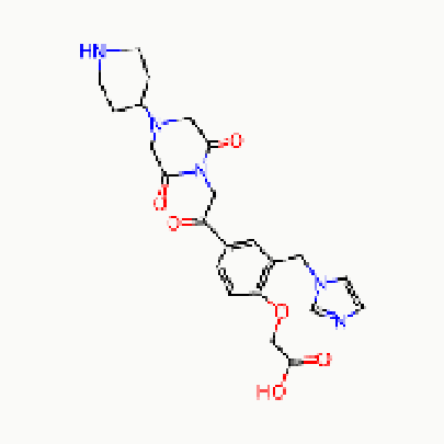 O=C(O)COc1ccc(C(=O)CN2C(=O)CN(C3CCNCC3)CC2=O)cc1Cn1ccnc1